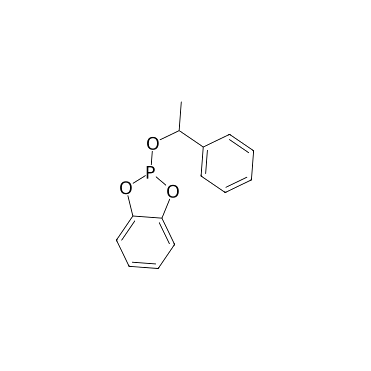 CC(OP1Oc2ccccc2O1)c1ccccc1